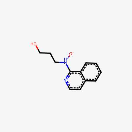 [O-][NH+](CCCO)c1nccc2ccccc12